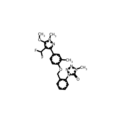 COc1c(C(F)F)c(-c2ccc(OCc3ccccc3-n3nnn(C)c3=O)c(C)c2)nn1C